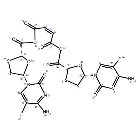 Nc1nc(=O)n([C@@H]2CS[C@H](C(=O)OC(=O)/C=C\C(=O)OC(=O)[C@@H]3O[C@H](n4cc(F)c(N)nc4=O)CS3)O2)cc1F